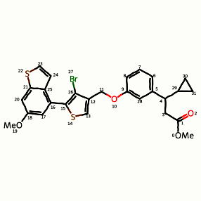 COC(=O)CC(c1cccc(OCc2csc(-c3cc(OC)cc4sccc34)c2Br)c1)C1CC1